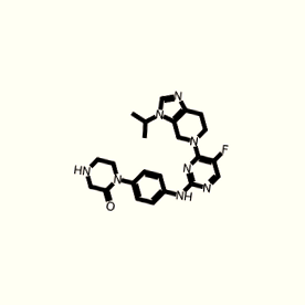 CC(C)n1cnc2c1CN(c1nc(Nc3ccc(N4CCNCC4=O)cc3)ncc1F)CC2